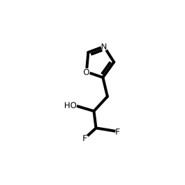 OC(Cc1cnco1)C(F)F